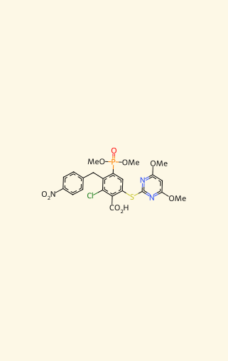 COc1cc(OC)nc(Sc2cc(P(=O)(OC)OC)c(Cc3ccc([N+](=O)[O-])cc3)c(Cl)c2C(=O)O)n1